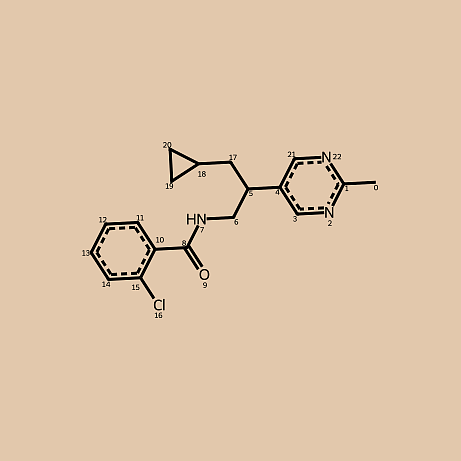 Cc1ncc(C(CNC(=O)c2ccccc2Cl)CC2CC2)cn1